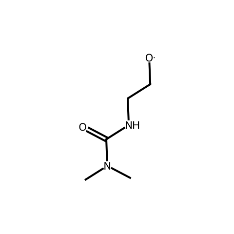 CN(C)C(=O)NCC[O]